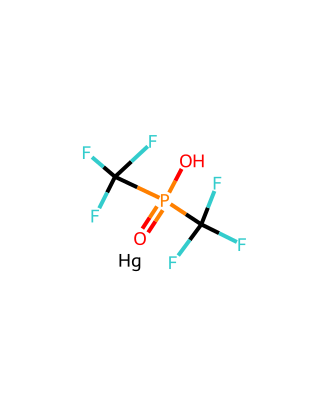 O=P(O)(C(F)(F)F)C(F)(F)F.[Hg]